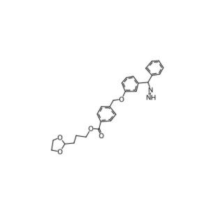 N=NC(c1ccccc1)c1cccc(OCc2ccc(C(=O)OCCCC3OCCO3)cc2)c1